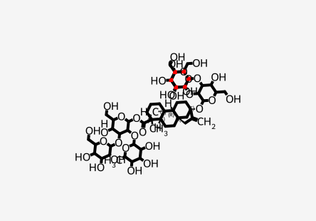 C=C1C[C@@]23CC[C@H]4[C@@](C)(CCC[C@@]4(C)C(=O)OC4OC(CO)C(O)C(OC5OC(CO)C(O)C(O)C5O)C4OC4OC(C)C(O)C(O)C4O)[C@@H]2CC[C@]1(OC1OC(CO)C(O)C(OC2OC(CO)C(O)C(O)C2O)C1OC1OC(CO)C(O)CC1O)C3